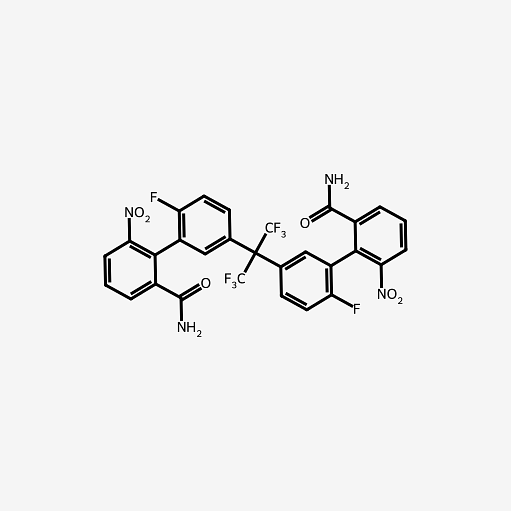 NC(=O)c1cccc([N+](=O)[O-])c1-c1cc(C(c2ccc(F)c(-c3c(C(N)=O)cccc3[N+](=O)[O-])c2)(C(F)(F)F)C(F)(F)F)ccc1F